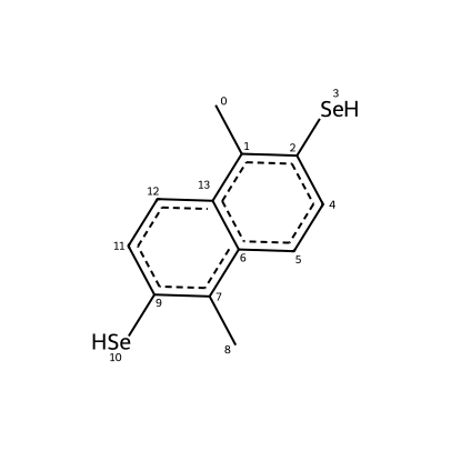 Cc1c([SeH])ccc2c(C)c([SeH])ccc12